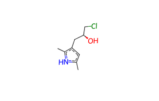 Cc1cc(C[C@H](O)CCl)c(C)[nH]1